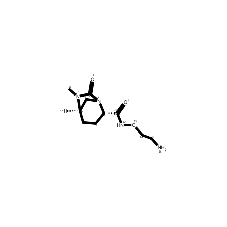 CN1C(=O)N2C[C@H]1CC[C@H]2C(=O)NOCCN